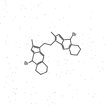 CC1=C(CCC2=C(C)C=C3C2=CC2=C(CCCC2)C3Br)C2=CC3=C(CCCC3)C(Br)C2=C1